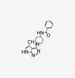 Cc1c[nH]c2ncnc(N3CCC(NC(=O)c4ccccc4)CC3)c12